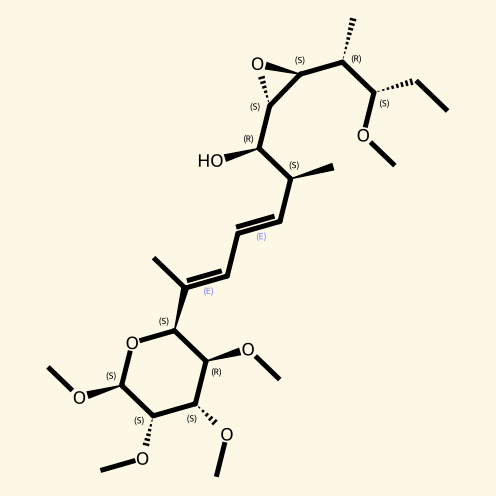 CC[C@H](OC)[C@@H](C)[C@@H]1O[C@H]1[C@H](O)[C@@H](C)/C=C/C=C(\C)[C@@H]1O[C@H](OC)[C@@H](OC)[C@@H](OC)[C@@H]1OC